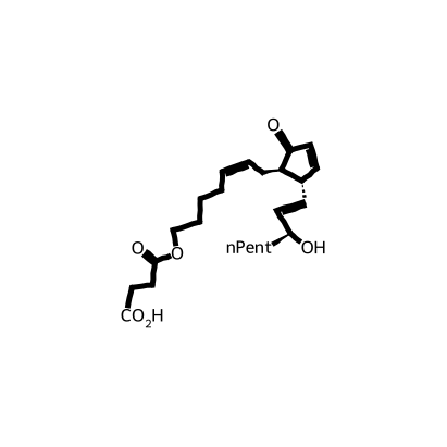 CCCCC[C@H](O)/C=C/[C@H]1C=CC(=O)[C@@H]1C/C=C\CCCCOC(=O)CCC(=O)O